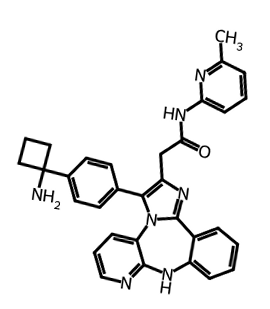 Cc1cccc(NC(=O)Cc2nc3n(c2-c2ccc(C4(N)CCC4)cc2)-c2cccnc2Nc2ccccc2-3)n1